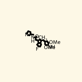 COC1=CC(=CC2=C(C)/C(=C\C(=O)NCc3cccnc3)c3cc(F)ccc32)C=C(OC)C1=N